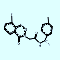 Cc1ccc([C@H](C)NC(=O)Cn2nnc3c(F)cccc3c2=O)cc1